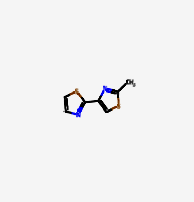 Cc1nc(-c2n[c]cs2)cs1